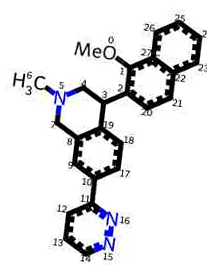 COc1c(C2CN(C)Cc3cc(-c4cccnn4)ccc32)ccc2ccccc12